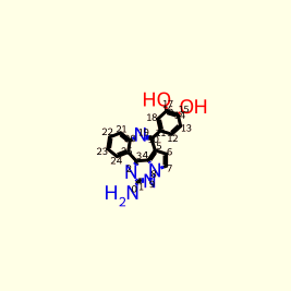 Nc1nc2c3c(ccn3n1)C(c1ccc(O)c(O)c1)=Nc1ccccc1-2